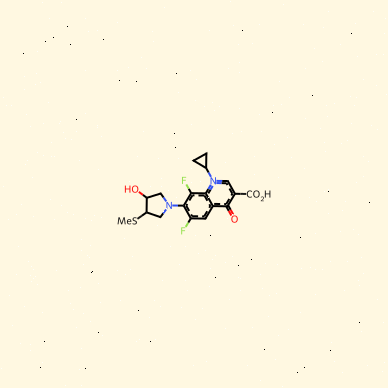 CSC1CN(c2c(F)cc3c(=O)c(C(=O)O)cn(C4CC4)c3c2F)CC1O